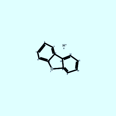 [H+].c1ccc2c(c1)oc1ccccc12